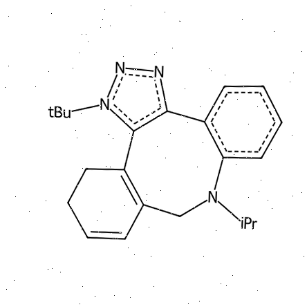 CC(C)N1CC2=C(CCC=C2)c2c(nnn2C(C)(C)C)-c2ccccc21